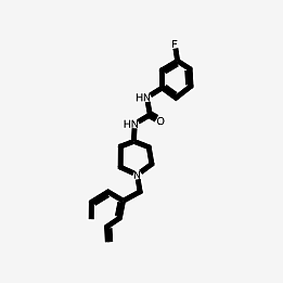 C=C/C=C(\C=C/C)CN1CCC(NC(=O)Nc2cccc(F)c2)CC1